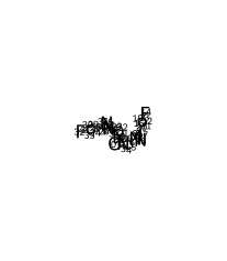 O=C(N1CCCC(n2cc(-c3ccc(F)cc3)cn2)C1)N1CCCC(n2cc(-c3ccc(F)cc3)cn2)C1